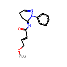 CCCCOC/C=C/C(=O)N=C1CCC=NN1c1ccccc1